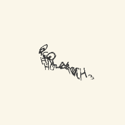 CN1CCN(Cc2ccnc(CCC(O)CNC(=O)CSCc3ccoc3)c2)CC1